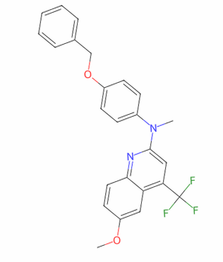 COc1ccc2nc(N(C)c3ccc(OCc4ccccc4)cc3)cc(C(F)(F)F)c2c1